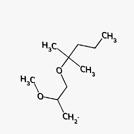 [CH2]C(COC(C)(C)CCC)OC